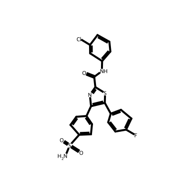 NS(=O)(=O)c1ccc(-c2nc(C(=O)Nc3cccc(Cl)c3)sc2-c2ccc(F)cc2)cc1